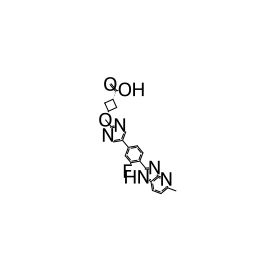 Cc1ccc2[nH]c(-c3ccc(-c4cnc(O[C@H]5C[C@@H](C(=O)O)C5)nc4)cc3F)nc2n1